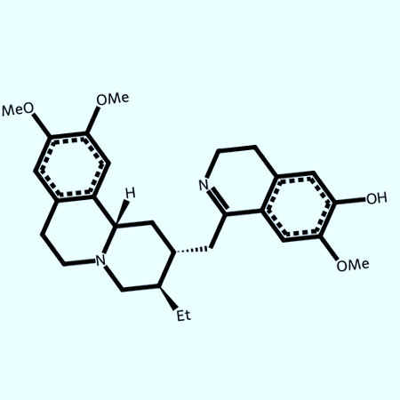 CC[C@H]1CN2CCc3cc(OC)c(OC)cc3[C@@H]2C[C@@H]1CC1=NCCc2cc(O)c(OC)cc21